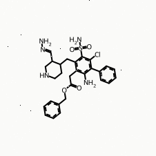 NN=CC1CNCCC1Cc1c(CC(=O)OCc2ccccc2)c(N)c(-c2ccccc2)c(Cl)c1S(N)(=O)=O